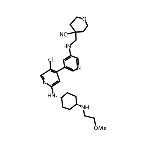 COCCN[C@H]1CC[C@H](Nc2cc(-c3cncc(NCC4(C#N)CCOCC4)c3)c(Cl)cn2)CC1